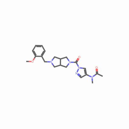 COc1ccccc1CN1CC2CN(C(=O)n3cc(N(C)C(C)=O)cn3)CC2C1